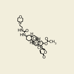 CC(=O)O[C@H]1C[C@]2(O)[C@@H]3CC[C@@H]4C[C@@H](NC(=O)NCCN5CCOCC5)CC[C@]4(C)[C@H]3CC[C@]2(C)[C@H]1c1ccc(=O)oc1